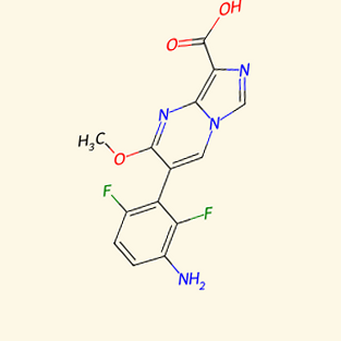 COc1nc2c(C(=O)O)ncn2cc1-c1c(F)ccc(N)c1F